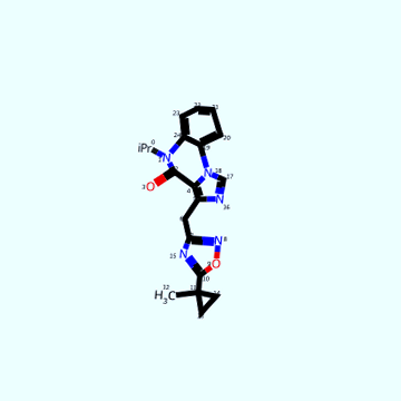 CC(C)n1c(=O)c2c(Cc3noc(C4(C)CC4)n3)ncn2c2ccccc21